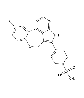 CS(=O)(=O)N1CC=C(c2[nH]c3nccc4c3c2COc2ccc(F)cc2-4)CC1